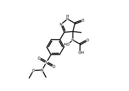 CON(C)S(=O)(=O)c1ccc(C2=NNC(=O)C2(C)N(O)C(=O)O)cc1